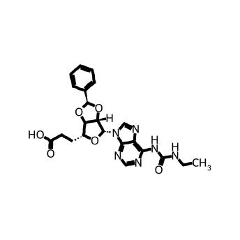 CCNC(=O)Nc1ncnc2c1ncn2[C@@H]1O[C@H](CCC(=O)O)C2O[C@@H](c3ccccc3)O[C@@H]21